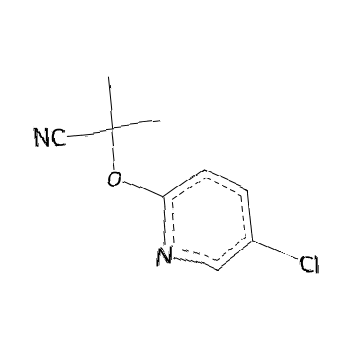 CC(C)(C#N)Oc1ccc(Cl)cn1